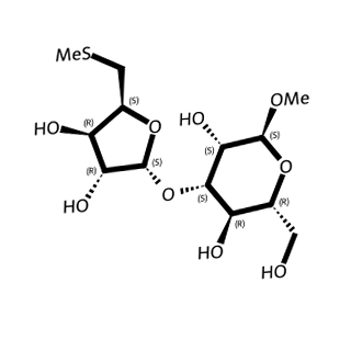 CO[C@H]1O[C@H](CO)[C@@H](O)[C@H](O[C@H]2O[C@H](CSC)[C@H](O)[C@H]2O)[C@@H]1O